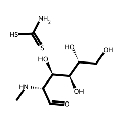 CN[C@@H](C=O)[C@@H](O)[C@H](O)[C@H](O)CO.NC(=S)S